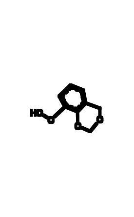 OOc1cccc2c1OCOC2